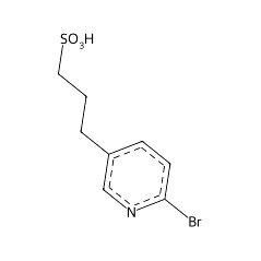 O=S(=O)(O)CCCc1ccc(Br)nc1